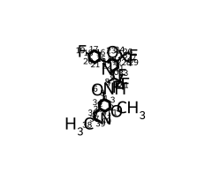 COc1cc(C(=O)NCC(c2cc3c(c(-c4ccc(F)cc4)n2)OCC3(CF)CF)C(F)(F)F)cc2cc(C)cnc12